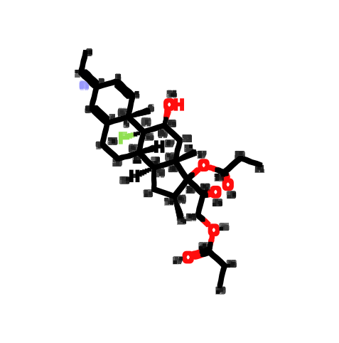 C/C=C1\C=C[C@@]2(C)C(=C1)CC[C@H]1[C@@H]3C[C@H](C)C(OC(=O)CC)(C(=O)COC(=O)CC)[C@@]3(C)C[C@H](O)[C@@]12F